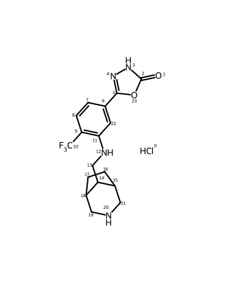 Cl.O=c1[nH]nc(-c2ccc(C(F)(F)F)c(NCC3C4CCC3CNC4)c2)o1